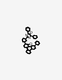 c1ccc(-c2nc(-c3cccc(-c4ccc5c6ccccc6c6ccc(-c7ccccc7)c7oc4c5c76)c3)nc3c2oc2ccccc23)cc1